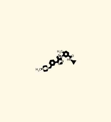 Cc1ccc(C(=O)NC2CC2)cc1-n1ncc2c(-c3cccc(CN4CCN(C)CC4)c3)ncnc21